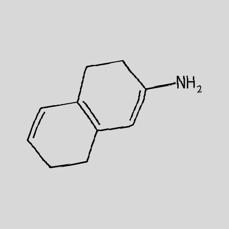 NC1=CC2=C(C=CCC2)CC1